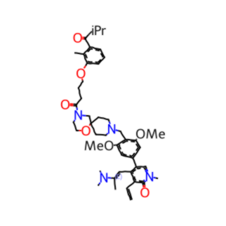 C=Cc1c(/C=C(\C)N(C)C)c(-c2cc(OC)c(CN3CCC4(CC3)CN(C(=O)CCCOc3cccc(C(=O)C(C)C)c3C)CCO4)c(OC)c2)cn(C)c1=O